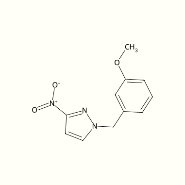 COc1cccc(Cn2ccc([N+](=O)[O-])n2)c1